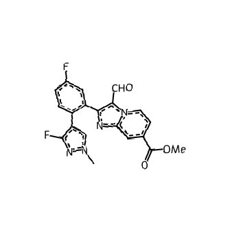 COC(=O)c1ccn2c(C=O)c(-c3cc(F)ccc3-c3cn(C)nc3F)nc2c1